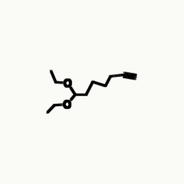 C#CCCCCC(OCC)OCC